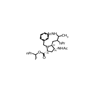 CCCC(F)OC(=O)[C@H]1C[C@@H](NC(C)=O)[C@H](CC(CCC)C(C)NC(C)=O)N1Cc1ccccc1